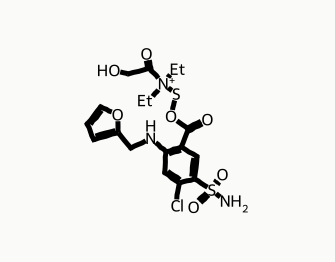 CC[N+](CC)(SOC(=O)c1cc(S(N)(=O)=O)c(Cl)cc1NCc1ccco1)C(=O)CO